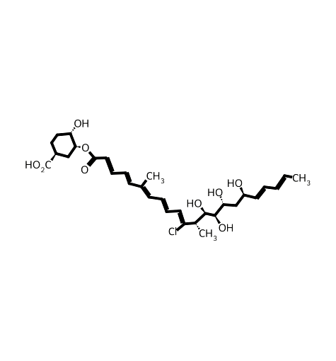 C/C=C/C=C/[C@H](O)C[C@@H](O)[C@@H](O)[C@H](O)[C@H](C)/C(Cl)=C/C=C/C=C(C)/C=C/C=C/C(=O)O[C@@H]1C[C@@H](C(=O)O)CC[C@@H]1O